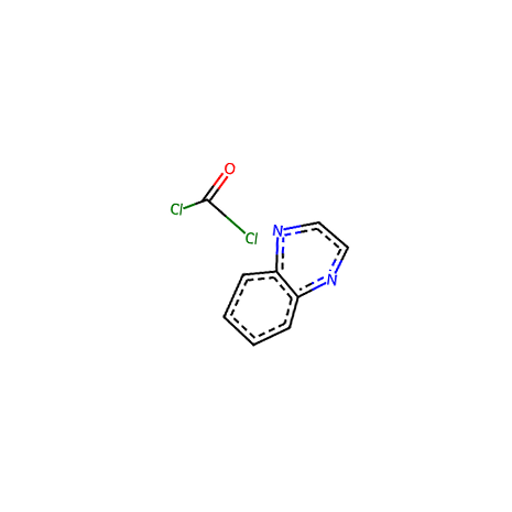 O=C(Cl)Cl.c1ccc2nccnc2c1